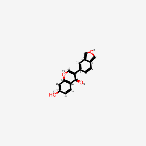 O=c1c(-c2ccc3cocc3c2)coc2cc(O)ccc12